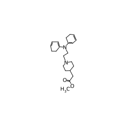 COC(=O)CC1CCN(CCN(C2=CC=CCC2)C2=CC=CCC2)CC1